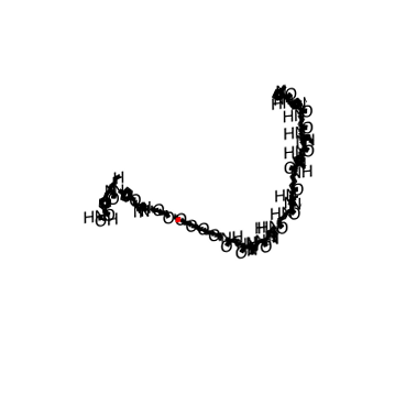 CCCCN(Cc1ccc(C(=O)NO)cc1)C(=O)Nc1ccc(OCc2cn(CCOCCOCCOCCOCCOCCOCCNC(=O)CCNC(=O)c3nc(NC(=O)c4cc(NC(=O)CCNC(=O)c5nc(NC(=O)CCCNC(=O)c6cc(NC(=O)c7nc(NC(=O)CCNC(=O)c8cc(NC(=O)c9nccn9C)cn8C)cn7C)cn6C)cn5C)cn4C)cn3C)nn2)cc1